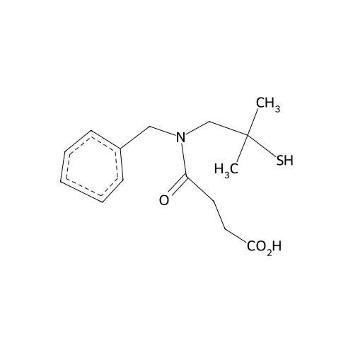 CC(C)(S)CN(Cc1ccccc1)C(=O)CCC(=O)O